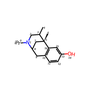 CC(C)N1CC(C)[C@@]2(C)CC1Cc1ccc(O)cc12